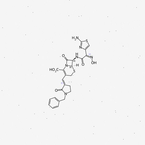 Nc1nc(/C(=N/O)C(=O)N[C@@H]2C(=O)N3C(C(=O)O)=C(/C=C4\CCN(Cc5ccccc5)C4=O)CS[C@H]23)cs1